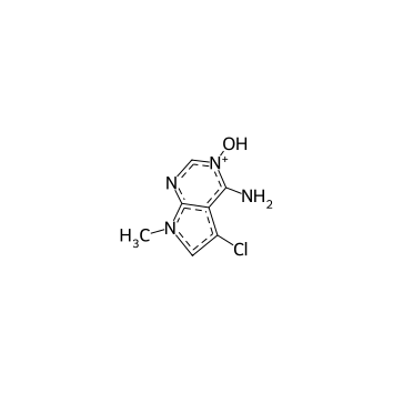 Cn1cc(Cl)c2c(N)[n+](O)cnc21